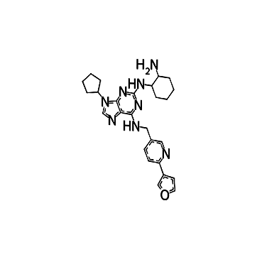 NC1CCCCC1Nc1nc(NCc2ccc(-c3ccoc3)nc2)c2ncn(C3CCCC3)c2n1